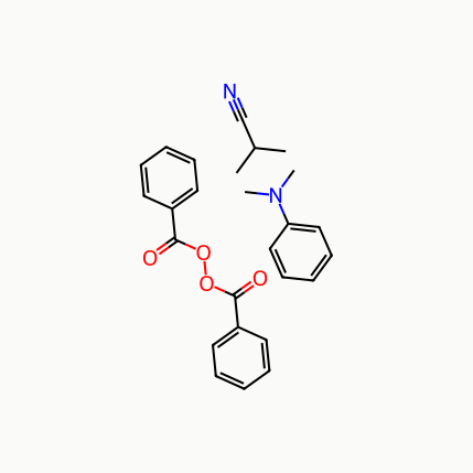 CC(C)C#N.CN(C)c1ccccc1.O=C(OOC(=O)c1ccccc1)c1ccccc1